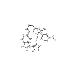 COc1ccc(OC)c(S(=O)(=O)Nc2cccc(-c3ccc4nnc(-c5cccs5)n4n3)c2)c1